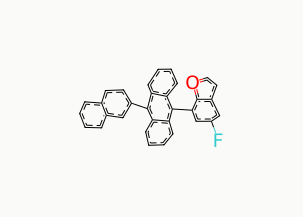 Fc1cc(-c2c3ccccc3c(-c3ccc4ccccc4c3)c3ccccc23)c2occc2c1